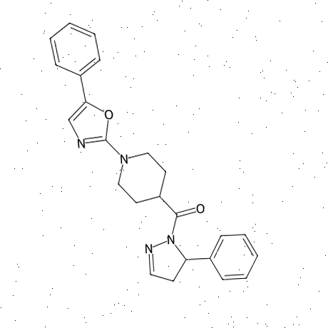 O=C(C1CCN(c2ncc(-c3ccccc3)o2)CC1)N1N=CCC1c1ccccc1